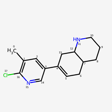 Cc1cc(C2=CCC3CCCNC3C2)cnc1Cl